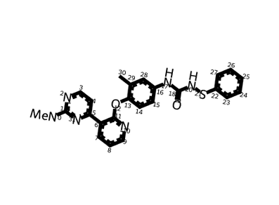 CNc1nccc(-c2cccnc2Oc2ccc(NC(=O)NSc3ccccc3)cc2C)n1